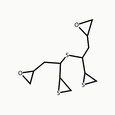 C1OC1CC(SC(CC1CO1)C1CS1)C1CS1